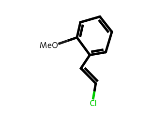 COc1ccccc1C=CCl